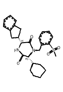 CS(=O)(=O)c1ccccc1CN1C(=O)[C@@H](C2Cc3ccccc3C2)NC(=O)[C@H]1C1CCCCC1